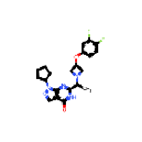 CC(c1nc2c(cnn2C2CCCC2)c(=O)[nH]1)N1CC(Oc2ccc(F)c(F)c2)C1